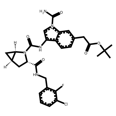 CC(C)(C)OC(=O)Cc1ccc2c(NC(=O)N3[C@@H]4C[C@@H]4C[C@H]3C(=O)NCc3cccc(Cl)c3F)cn(C(N)=O)c2c1